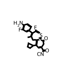 C/C1=C(c2ccc(N)c(F)c2)/C(F)=C\SN2C(=O)CC(C(=O)C#N)=CC(C3CCC3)=C2C1